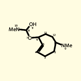 CNC1CC/C=C/C(OC(O)NC)CC1